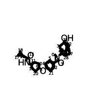 CN(C(=O)c1ccc(OC2CCC(NC(=O)C3CC3)CC2)cc1)C1C2CC3CC1CC(O)(C3)C2